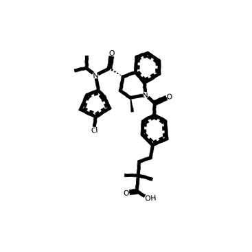 CC(C)N(C(=O)[C@H]1C[C@H](C)N(C(=O)c2ccc(CCC(C)(C)C(=O)O)cc2)c2ccccc21)c1ccc(Cl)cc1